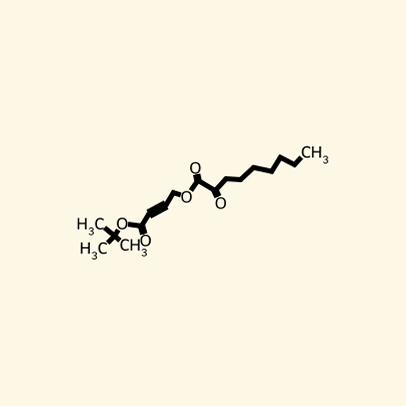 CCCCCCCC(=O)C(=O)OCC#CC(=O)OC(C)(C)C